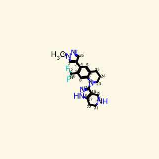 Cn1cc(-c2cc3c(cc2C(F)F)N(c2n[nH]c4c2CNCC4)CCC3)cn1